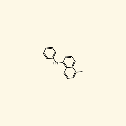 Cc1cccc2c(Nc3ccccc3)cccc12